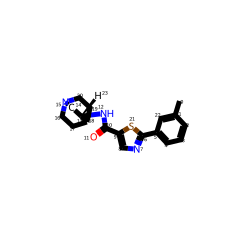 Cc1cccc(-c2ncc(C(=O)N[C@H]3CN4CCC3CC4)s2)c1